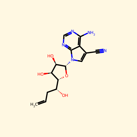 C=CC[C@@H](O)[C@H]1O[C@@H](n2cc(C#N)c3c(N)ncnc32)[C@H](O)[C@@H]1O